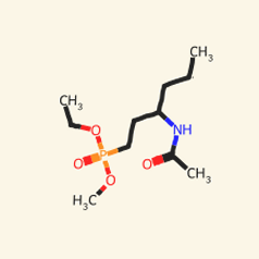 C[CH]CC(CCP(=O)(OC)OCC)NC(C)=O